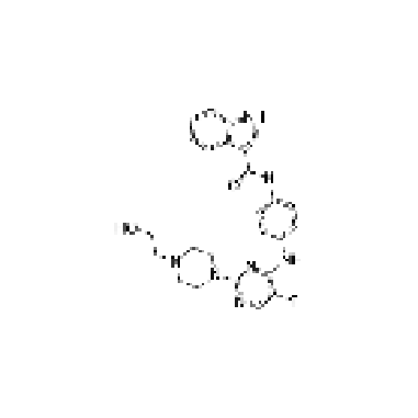 O=C(Nc1ccc(Nc2nc(N3CCN(CCO)CC3)ncc2F)cc1)c1c[nH]c2ccccc12